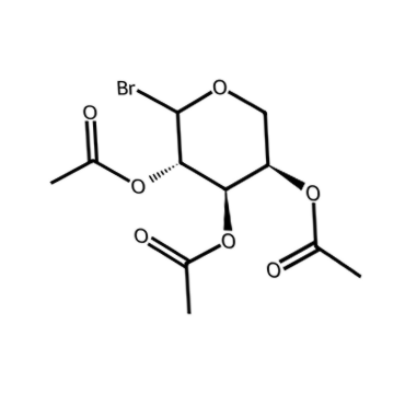 CC(=O)O[C@H]1[C@H](OC(C)=O)C(Br)OC[C@H]1OC(C)=O